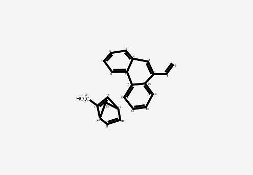 C=Cc1cc2ccccc2c2ccccc12.O=C(O)C1=CC2C=CC1C2